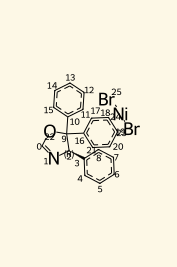 C1=N[C@H](c2ccccc2)C(c2ccccc2)(c2ccccc2)O1.[Br][Ni][Br]